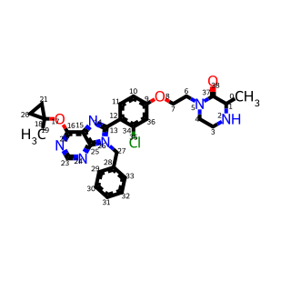 CC1NCCN(CCOc2ccc(-c3nc4c(OC5(C)CC5)ncnc4n3Cc3ccccc3)c(Cl)c2)C1=O